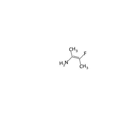 C/C(N)=C(/C)F